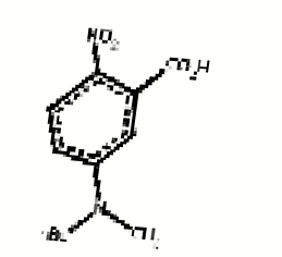 CCCCN(C)c1ccc([N+](=O)[O-])c(C(=O)O)c1